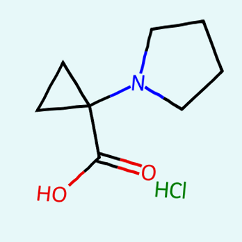 Cl.O=C(O)C1(N2CCCC2)CC1